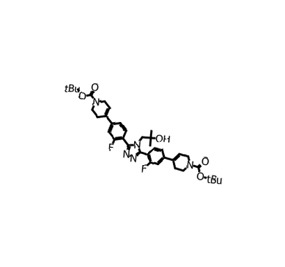 CC(C)(O)Cn1c(-c2ccc(C3=CCN(C(=O)OC(C)(C)C)CC3)cc2F)nnc1-c1ccc(C2=CCN(C(=O)OC(C)(C)C)CC2)cc1F